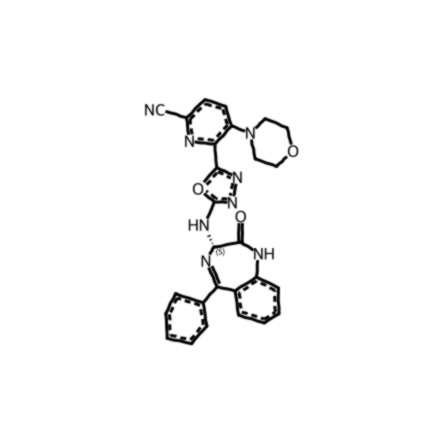 N#Cc1ccc(N2CCOCC2)c(-c2nnc(N[C@H]3N=C(c4ccccc4)c4ccccc4NC3=O)o2)n1